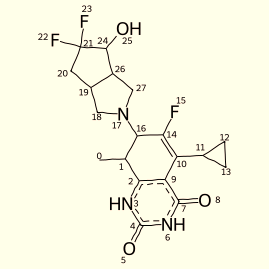 CC1c2[nH]c(=O)[nH]c(=O)c2C(C2CC2)=C(F)C1N1CC2CC(F)(F)C(O)C2C1